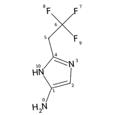 Nc1cnc(CC(F)(F)F)[nH]1